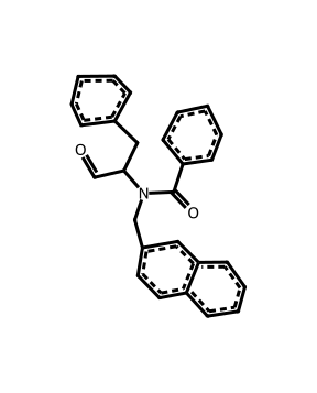 O=CC(Cc1ccccc1)N(Cc1ccc2ccccc2c1)C(=O)c1ccccc1